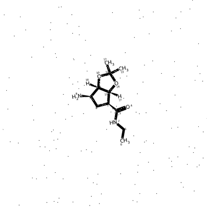 CCNC(=O)[C@H]1C[C@@H](N)[C@@H]2OC(C)(C)O[C@@H]21